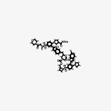 CNC(=O)C1CCN(c2ccc(S(=O)(=O)N(C)CC(=O)N3CCOCC3)cc2-c2cc3ccc(CC4CN(C(=O)OCC5CCN5S(=O)(=O)c5ccc(N6CCCC6)c(-c6cc7ccc(C)cc7[nH]6)c5)CCO4)cc3[nH]2)C1